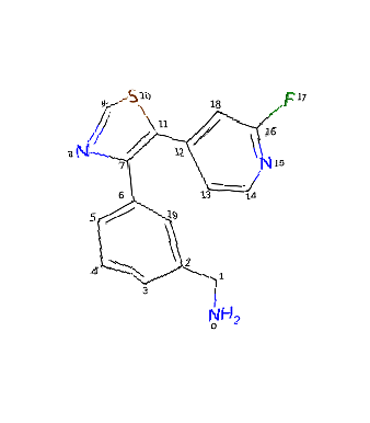 NCc1cccc(-c2n[c]sc2-c2ccnc(F)c2)c1